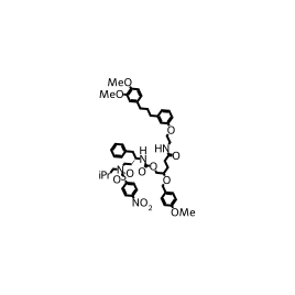 COc1ccc(COC(CCC(=O)NCCOc2cccc(CCCc3ccc(OC)c(OC)c3)c2)COC(=O)N[C@H](CCN(CC(C)C)S(=O)(=O)c2ccc([N+](=O)[O-])cc2)Cc2ccccc2)cc1